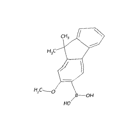 COc1cc2c(cc1B(O)O)-c1ccccc1C2(C)C